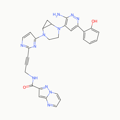 Nc1nnc(-c2ccccc2O)cc1N1CCN(c2ccnc(C#CCNC(=O)c3cc4ncccn4n3)n2)C2CC21